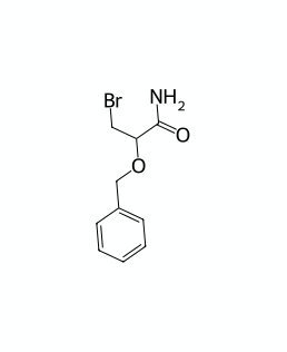 NC(=O)C(CBr)OCc1ccccc1